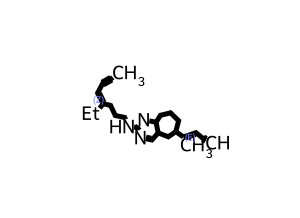 C#C/C=C(\C)C1CCCC2N=C(NCCC/C(=C\C#CC)CC)N=CC2C1